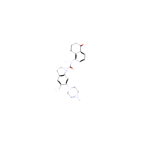 CN1CCN(c2cc3c(cc2Cl)CCN3C(=O)Nc2cccc3c2CCCC3=O)CC1